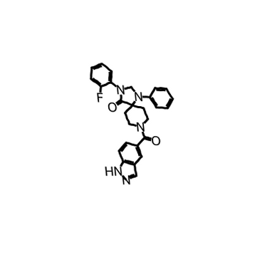 O=C(c1ccc2[nH]ncc2c1)N1CCC2(CC1)C(=O)N(c1ccccc1F)CN2c1ccccc1